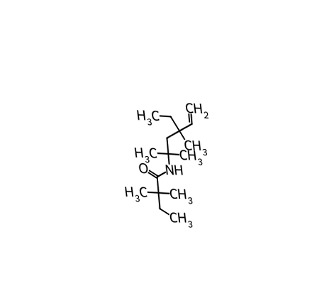 C=CC(C)(CC)CC(C)(C)NC(=O)C(C)(C)CC